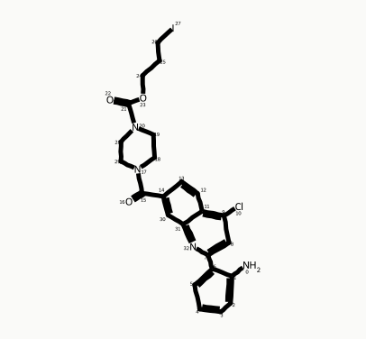 Nc1ccccc1-c1cc(Cl)c2ccc(C(=O)N3CCN(C(=O)OCCCI)CC3)cc2n1